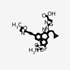 Cc1cnc(C#Cc2cccc(-c3nn(-c4nc(C(=O)O)cs4)c(CC4CC4)c3Cc3ccc(S(N)(=O)=O)c(F)c3)c2)o1